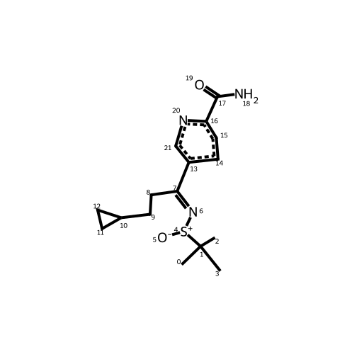 CC(C)(C)[S+]([O-])N=C(CCC1CC1)c1ccc(C(N)=O)nc1